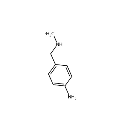 [CH2]NCc1ccc(N)cc1